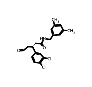 Cc1cc(C)cc(CNC(=O)C[C@@H](CC=O)c2ccc(Cl)c(Cl)c2)c1